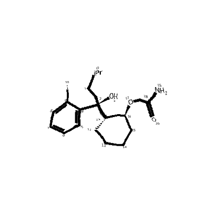 CC(C)C[C@@](O)(c1ccccc1I)[C@H]1CCCC[C@@H]1OC(N)=O